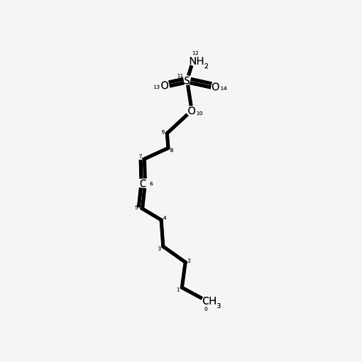 CCCCCC=C=CCCOS(N)(=O)=O